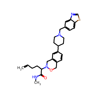 C=CCCC(C(=O)NC)N1Cc2cc(C3CCN(Cc4ccc5scnc5c4)CC3)ccc2CO1